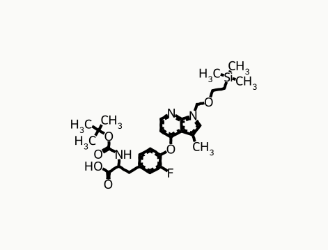 Cc1cn(COCC[Si](C)(C)C)c2nccc(Oc3ccc(CC(NC(=O)OC(C)(C)C)C(=O)O)cc3F)c12